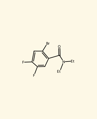 CCN(CC)C(=O)c1cc(F)c(F)cc1Br